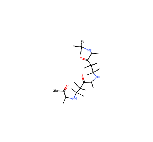 CCC(C)(C)NC(C)C(=O)C(C)(C)C(C)(C)NC(C)C(=O)C(C)(C)C(C)(C)NC(C)C(=O)C(C)(C)C